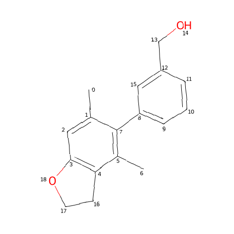 Cc1cc2c(c(C)c1-c1cccc(CO)c1)CCO2